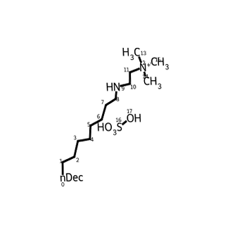 CCCCCCCCCCCCCCCCCCNCC[N+](C)(C)C.O=S(=O)(O)O